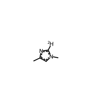 [2H]c1nc(C)cn1C